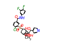 C[C@H]1CC2CC(S(=O)(=O)c3cc(C(=O)Nc4ccc(F)c(F)c4)ccc3Cl)CC1[C@@]2(O)C(O)C(O)c1ccncc1